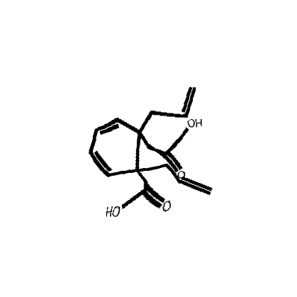 C=CCC1(C(=O)O)C=CC=CC1(CC=C)C(=O)O